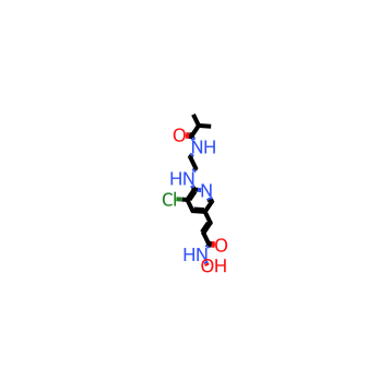 CC(C)C(=O)NCCNc1ncc(/C=C/C(=O)NO)cc1Cl